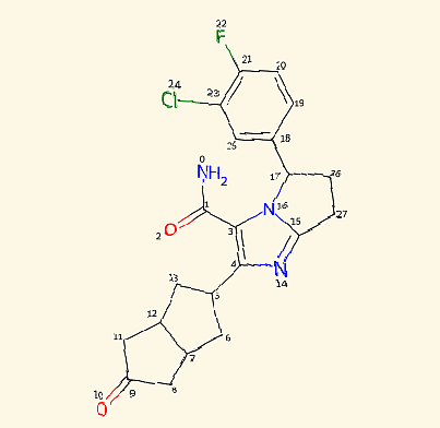 NC(=O)c1c(C2CC3CC(=O)CC3C2)nc2n1C(c1ccc(F)c(Cl)c1)CC2